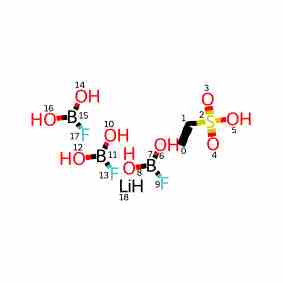 C=CS(=O)(=O)O.OB(O)F.OB(O)F.OB(O)F.[LiH]